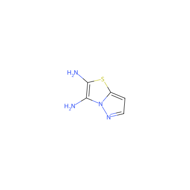 Nc1sc2ccnn2c1N